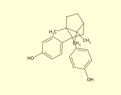 CC1(C)C2CCC1(C)C(c1ccc(O)cc1)(c1ccc(O)cc1)C2